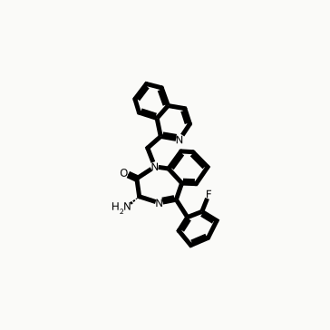 N[C@H]1N=C(c2ccccc2F)c2ccccc2N(Cc2nccc3ccccc23)C1=O